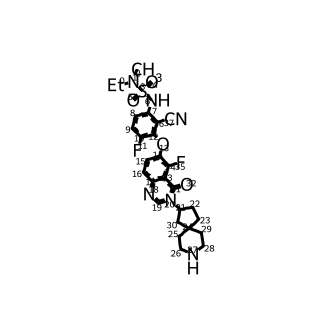 CCN(C)S(=O)(=O)Nc1ccc(F)c(Oc2ccc3ncn(C4CCC5(CCNCC5)C4)c(=O)c3c2F)c1C#N